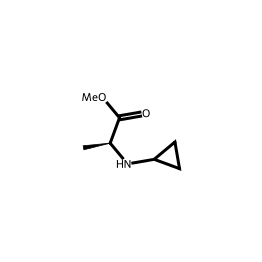 COC(=O)[C@H](C)NC1CC1